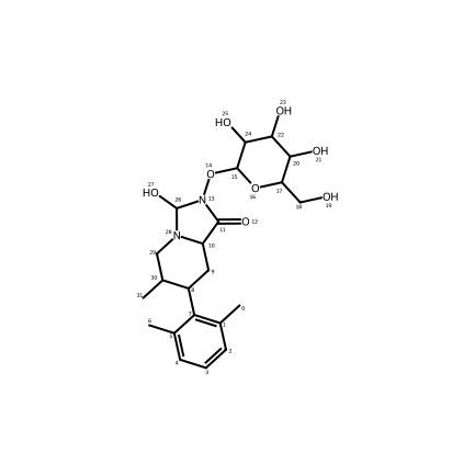 Cc1cccc(C)c1C1CC2C(=O)N(OC3OC(CO)C(O)C(O)C3O)C(O)N2CC1C